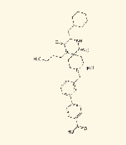 CCCCN1C(=O)[C@H](CC2CCCCC2)NC(=O)C12CCN(Cc1cccc(-c3ccc(C(=O)O)cc3)c1)CC2.Cl